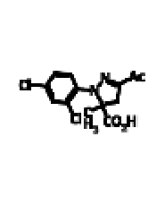 CC(=O)C1=NN(c2ccc(Cl)cc2Cl)C(C)(C(=O)O)C1